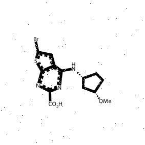 CO[C@H]1CC[C@@H](Nc2nc(C(=O)O)nc3sc(Br)cc23)C1